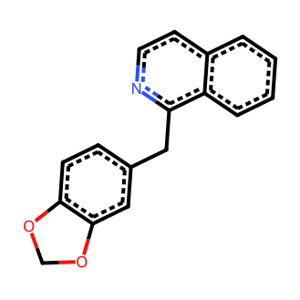 c1ccc2c(Cc3ccc4c(c3)OCO4)nccc2c1